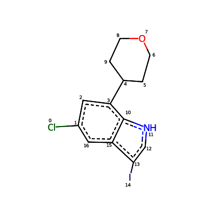 Clc1cc(C2CCOCC2)c2[nH]cc(I)c2c1